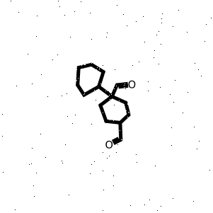 O=CC1CCC(C=O)(C2CCCCC2)CC1